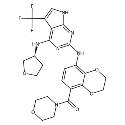 O=C(c1ccc(Nc2nc(N[C@H]3CCOC3)c3c(C(F)(F)F)c[nH]c3n2)c2c1OCCO2)N1CCOCC1